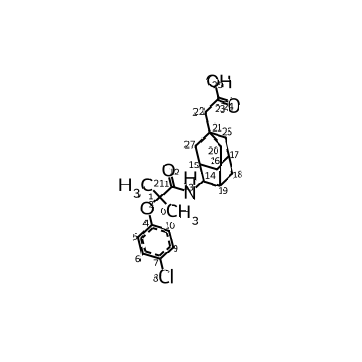 CC(C)(Oc1ccc(Cl)cc1)C(=O)NC1C2CC3CC1CC(CC(=O)O)(C3)C2